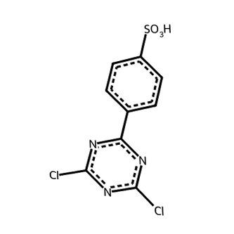 O=S(=O)(O)c1ccc(-c2nc(Cl)nc(Cl)n2)cc1